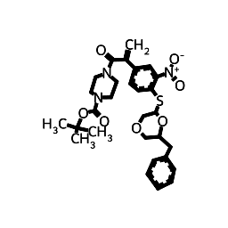 C=C(C(=O)N1CCN(C(=O)OC(C)(C)C)CC1)c1ccc(SC2COCC(Cc3ccccc3)O2)c([N+](=O)[O-])c1